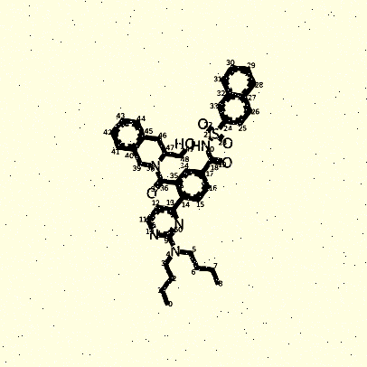 CCCCN(CCCC)c1nccc(-c2ccc(C(=O)NS(=O)(=O)c3ccc4ccccc4c3)cc2C(=O)N2Cc3ccccc3CC2CO)n1